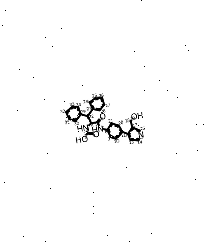 O=C(O)NC(C(=O)Nc1ccc(-c2ccncc2CO)cc1)C(c1ccccc1)c1ccccc1